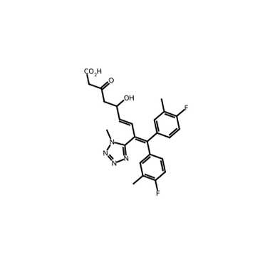 Cc1cc(C(=C(/C=C/C(O)CC(=O)CC(=O)O)c2nnnn2C)c2ccc(F)c(C)c2)ccc1F